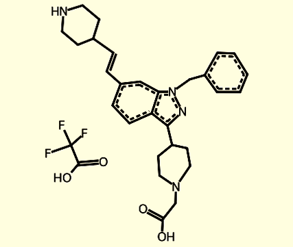 O=C(O)C(F)(F)F.O=C(O)CN1CCC(c2nn(Cc3ccccc3)c3cc(C=CC4CCNCC4)ccc23)CC1